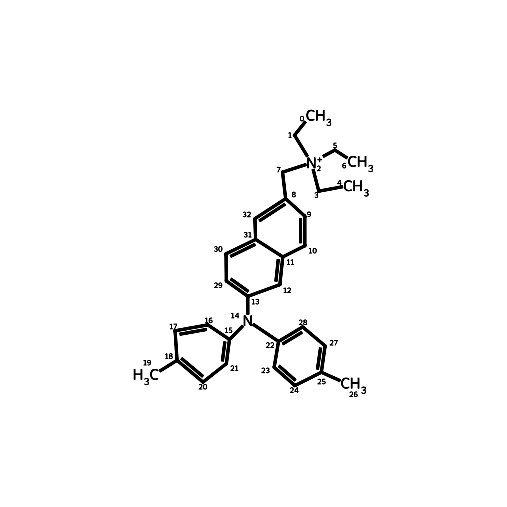 CC[N+](CC)(CC)Cc1ccc2cc(N(c3ccc(C)cc3)c3ccc(C)cc3)ccc2c1